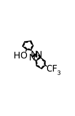 Oc1ccccc1-n1nc2ccc(C(F)(F)F)cc2n1